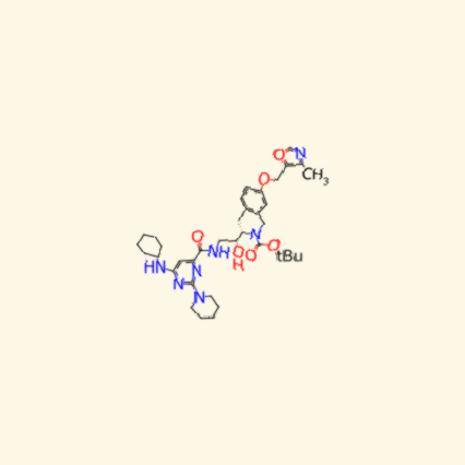 Cc1ncoc1COc1ccc2c(c1)CN(C(=O)OC(C)(C)C)[C@H]([C@H](O)CNC(=O)c1cc(NC3CCCCC3)nc(N3CCCCC3)n1)C2